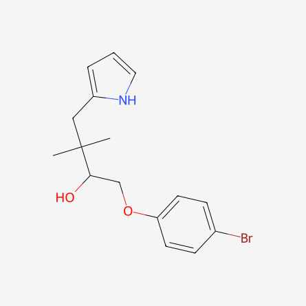 CC(C)(Cc1ccc[nH]1)C(O)COc1ccc(Br)cc1